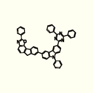 c1ccc(-c2nc(-c3ccccc3)nc(-c3ccc4c(c3)c3cc(-c5ccc6c(c5)Cc5ccc7nc(-c8ccccc8)oc7c5-6)ccc3n4-c3ccccc3)n2)cc1